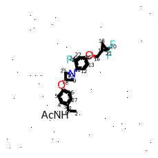 CC(=O)NC(C)c1ccc(OC2CN(c3ccc(OCC4CC4(F)F)cc3F)C2)cc1